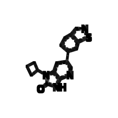 O=c1[nH]c2ncc(-c3ccc4cnsc4c3)cc2n1C1CCC1